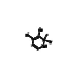 CC1(Br)NC=CC(Br)=C1O